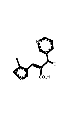 Cc1cscc1C=C(C(=O)O)C(O)c1cccnc1